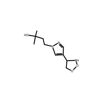 CC(C)(O)CCn1cc(C2BOOC2)cn1